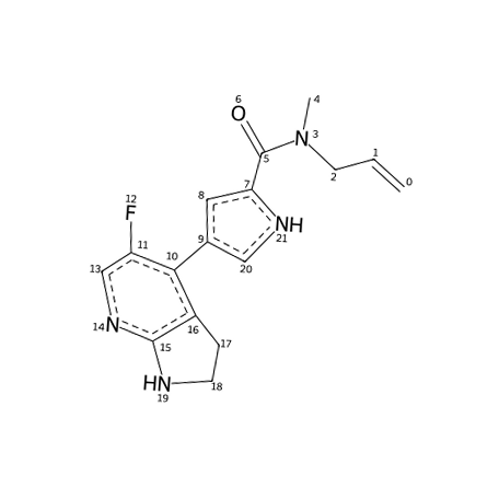 C=CCN(C)C(=O)c1cc(-c2c(F)cnc3c2CCN3)c[nH]1